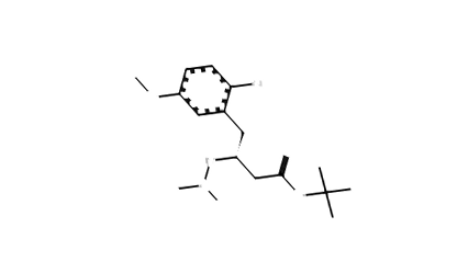 COc1ccc(N)c(C[C@@H](CC(=O)OC(C)(C)C)NB(C)O)c1